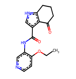 CCOc1ccncc1NC(=O)c1c[nH]c2c1C(=O)CCC2